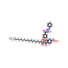 CCCCCCCCCCCCCCCCCC(=O)N(C(=O)c1ccc(CO)nc1)S(=O)(=O)c1ccc(C(=O)NCCc2ccccc2)cc1